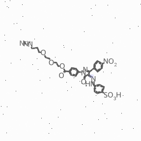 [N-]=[N+]=NCCCOCCOCCOC(=O)c1ccc(N2N=C(c3ccc([N+](=O)[O-])cc3)/C(=N/Nc3ccc(S(=O)(=O)O)cc3)C2=O)cc1